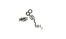 Cl.Cl.Cl.NCCCCN1CCN(c2cccc3c2CCCC3)CC1